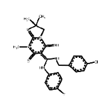 Cn1c(=O)/c(=C(/NCc2ccc(Cl)cc2)Nc2ccc(F)cc2)c(=N)n2c1=NC(C)(C)C2